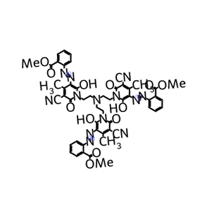 COC(=O)c1ccccc1/N=N/c1c(C)c(C#N)c(=O)n(CCN(CCn2c(O)c(/N=N/c3ccccc3C(=O)OC)c(C)c(C#N)c2=O)CCn2c(O)c(/N=N/c3ccccc3C(=O)OC)c(C)c(C#N)c2=O)c1O